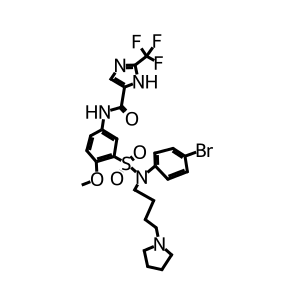 COc1ccc(NC(=O)c2cnc(C(F)(F)F)[nH]2)cc1S(=O)(=O)N(CCCCN1CCCC1)c1ccc(Br)cc1